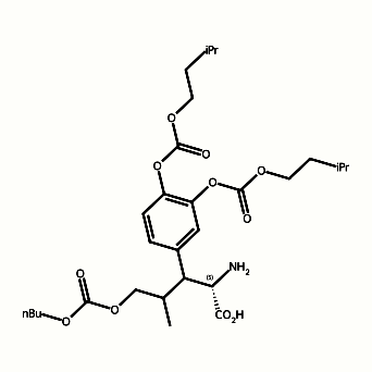 CCCCOC(=O)OCC(C)C(c1ccc(OC(=O)OCCC(C)C)c(OC(=O)OCCC(C)C)c1)[C@H](N)C(=O)O